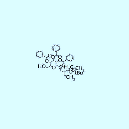 C=CC(CO[Si](C)(C)C(C)(C)C)CSC1OC(CO)C(OC(=O)c2ccccc2)C(OC(=O)c2ccccc2)C1OC(=O)c1ccccc1